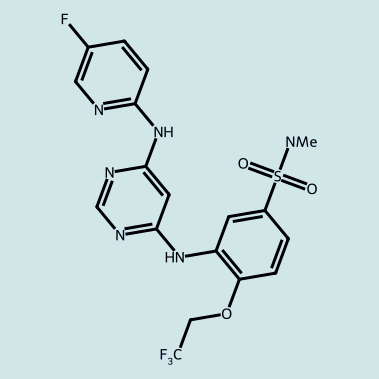 CNS(=O)(=O)c1ccc(OCC(F)(F)F)c(Nc2cc(Nc3ccc(F)cn3)ncn2)c1